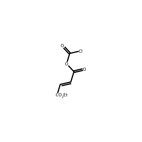 CCOC(=O)C=CC(=O)OC(=O)Cl